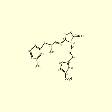 Cc1cccc(C[C@H](O)/C=C/[C@H]2CCC(=O)N2CCCc2nc(C(=O)O)cs2)c1